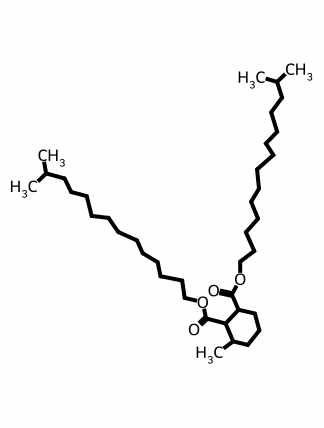 CC(C)CCCCCCCCCCCCOC(=O)C1CCCC(C)C1C(=O)OCCCCCCCCCCCCC(C)C